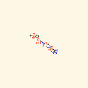 Cn1cnc2cc(S(=O)(=O)N3CCC4(CC3)C[C@@H](NCC(O)COc3cccc(S(=O)(=O)C5CC5)c3)CO4)cnc21